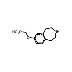 O=C(O)COc1ccc2c(c1)CCNCC2